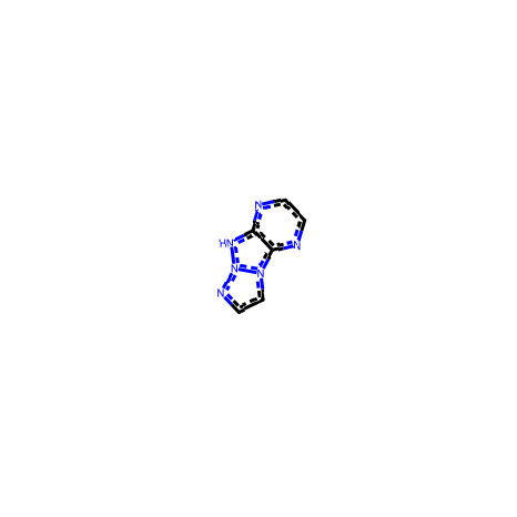 c1cnc2c(n1)[nH][n+]1nccn21